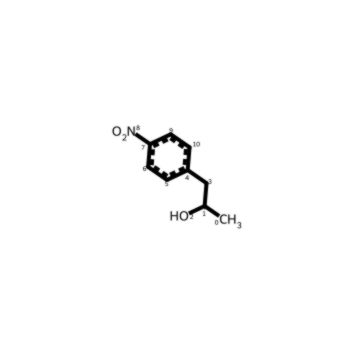 C[C](O)Cc1ccc([N+](=O)[O-])cc1